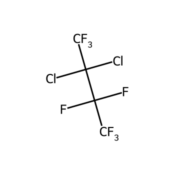 FC(F)(F)C(F)(F)C(Cl)(Cl)C(F)(F)F